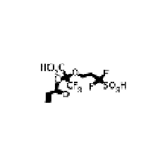 C=CC(=O)OC(OCCC(F)(F)S(=O)(=O)O)(C(=O)O)C(F)(F)F